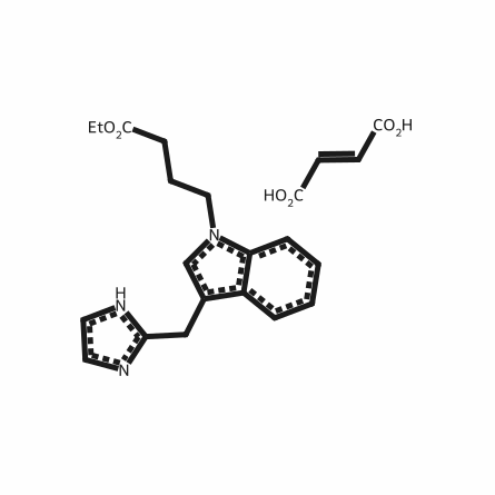 CCOC(=O)CCCn1cc(Cc2ncc[nH]2)c2ccccc21.O=C(O)C=CC(=O)O